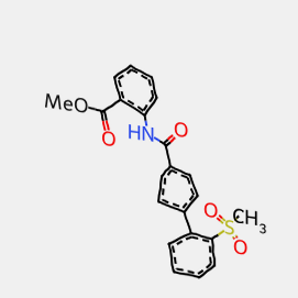 COC(=O)c1ccccc1NC(=O)c1ccc(-c2ccccc2S(C)(=O)=O)cc1